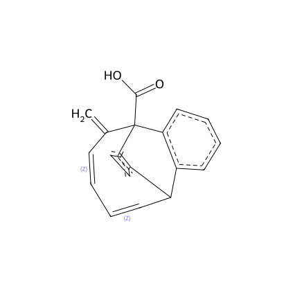 C=C1/C=C\C=C/C2c3ccccc3C1(C(=O)O)c1ccccc12